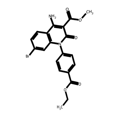 CCOC(=O)c1ccc(-n2c(=O)c(C(=O)OC)c(N)c3ccc(Br)cc32)cc1